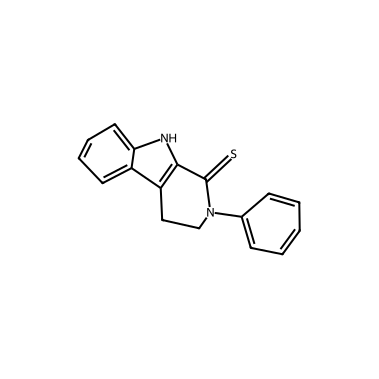 S=C1c2[nH]c3ccccc3c2CCN1c1ccccc1